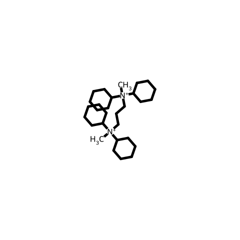 C[N+](CCC[N+](C)(C1CCCCC1)C1CCCCC1)(C1CCCCC1)C1CCCCC1